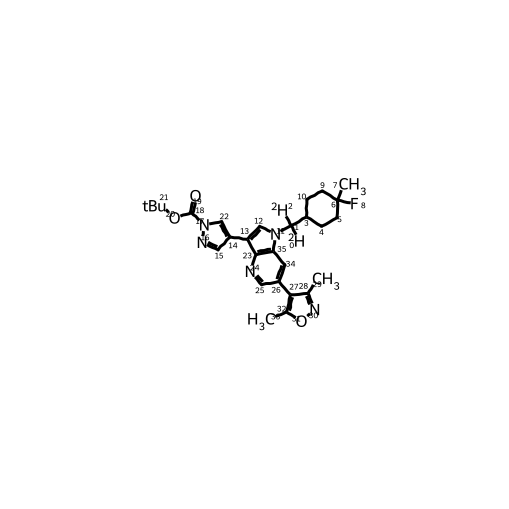 [2H]C([2H])(C1CCC(C)(F)CC1)n1cc(-c2cnn(C(=O)OC(C)(C)C)c2)c2ncc(-c3c(C)noc3C)cc21